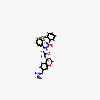 CC(C)(C)NCc1ccc2c(c1)OCC[C@H]2NC(=O)C[C@@H](NS(=O)(=O)c1ccccc1Cl)c1ccccc1